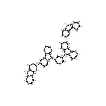 c1cc(-n2c3ccccc3c3cc(-c4ccc5oc6ccccc6c5c4)ccc32)cc(-n2c3ccccc3c3cc(-c4ccc5sc6ccccc6c5c4)ccc32)c1